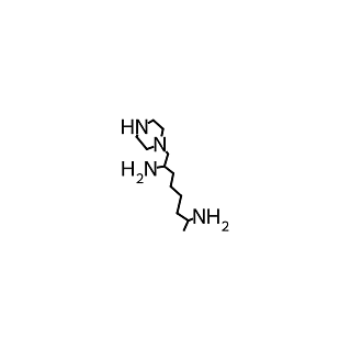 CC(N)CCCCC(N)CN1CCNCC1